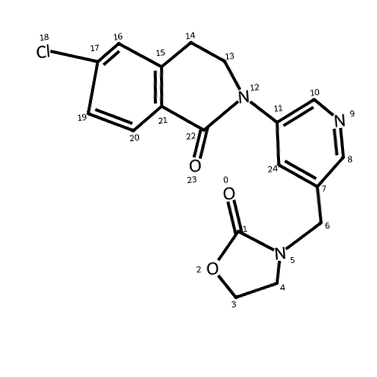 O=C1OCCN1Cc1cncc(N2CCc3cc(Cl)ccc3C2=O)c1